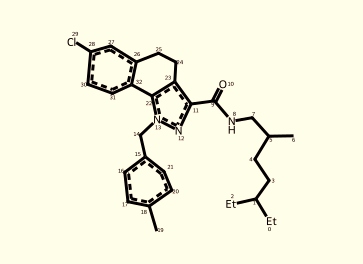 CCC(CC)CCC(C)CNC(=O)c1nn(Cc2ccc(C)cc2)c2c1CCc1cc(Cl)ccc1-2